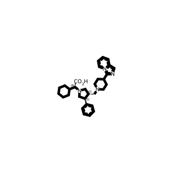 O=C(O)[C@@H](C1CCCCC1)N1C[C@H](CN2CCC(c3ncc4ccccn34)CC2)[C@@H](c2ccccc2)C1